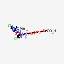 COC(C)c1c(NC(=O)Nc2cc(Cl)cnc2OCCNC(=O)CCOCCOCCOCCOCCC(=O)O)cnc2cc(Cl)nn12